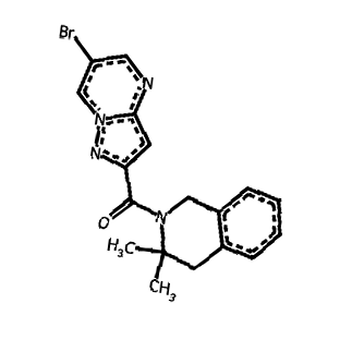 CC1(C)Cc2ccccc2CN1C(=O)c1cc2ncc(Br)cn2n1